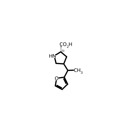 CC(c1ccco1)C1CN[C@H](C(=O)O)C1